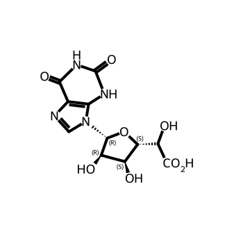 O=C(O)C(O)[C@H]1O[C@@H](n2cnc3c(=O)[nH]c(=O)[nH]c32)[C@H](O)[C@@H]1O